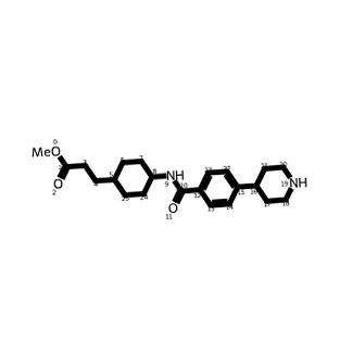 COC(=O)CCC1CCC(NC(=O)c2ccc(C3CCNCC3)cc2)CC1